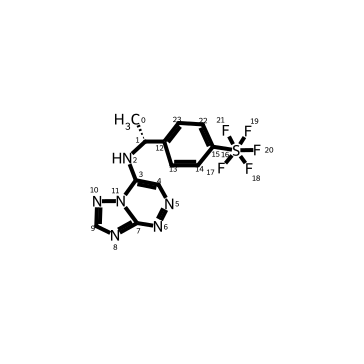 C[C@@H](Nc1cnnc2ncnn12)c1ccc(S(F)(F)(F)(F)F)cc1